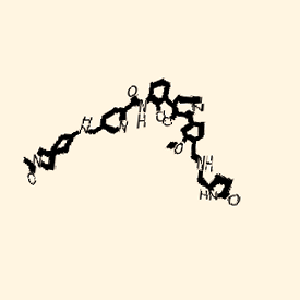 COc1cc(-c2nccc(-c3cccc(NC(=O)c4ccc(CNC5CC6(C5)CN(C(C)=O)C6)cn4)c3Cl)c2Cl)ccc1CNCC1CCC(=O)N1